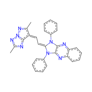 Cc1nc2/c(=C\C=C3N(c4ccccc4)c4nc5ccccc5nc4N3c3ccccc3)c(C)nn2n1